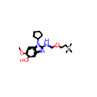 COc1cc2c(cc1O)nc(NCOCC[Si](C)(C)C)n2C1CCCC1